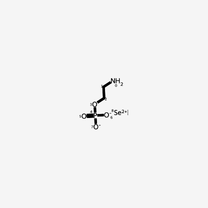 NCCOP(=O)([O-])[O-].[Se+2]